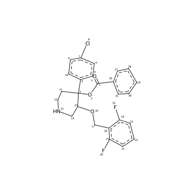 O=C(OC1(c2ccc(Cl)cc2)CCNCC1OCc1c(F)cccc1F)c1ccccc1